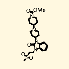 COC(=O)N1CCC(N2CCC(n3c(=O)n(CCS(C)(=O)=O)c4ccccc43)CC2)CC1